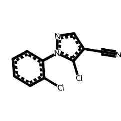 N#Cc1cnn(-c2ccccc2Cl)c1Cl